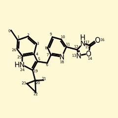 Cc1ccc2c(Cc3cccc(-c4noc(=O)[nH]4)n3)c(C3(C)CC3)[nH]c2c1